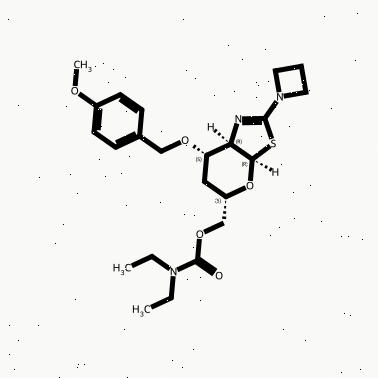 CCN(CC)C(=O)OC[C@@H]1C[C@H](OCc2ccc(OC)cc2)[C@H]2N=C(N3CCC3)S[C@H]2O1